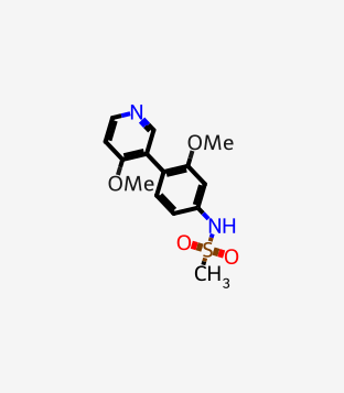 COc1cc(NS(C)(=O)=O)ccc1-c1cnccc1OC